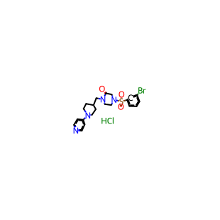 Cl.O=C1CN(S(=O)(=O)c2cccc(Br)c2)CCN1CC1CCN(c2ccncc2)CC1